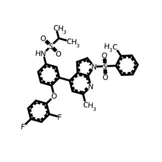 Cc1cc(-c2cc(NS(=O)(=O)C(C)C)ccc2Oc2ccc(F)cc2F)c2ccn(S(=O)(=O)c3ccccc3C)c2n1